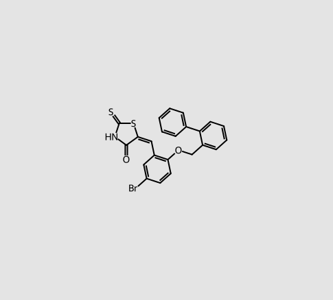 O=C1NC(=S)SC1=Cc1cc(Br)ccc1OCc1ccccc1-c1ccccc1